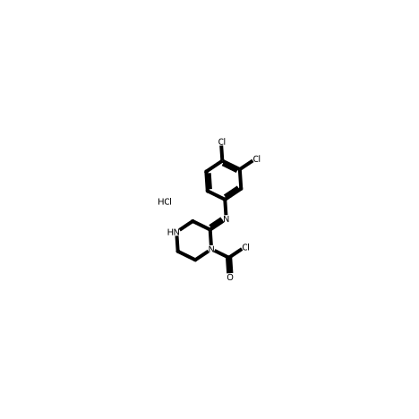 Cl.O=C(Cl)N1CCNCC1=Nc1ccc(Cl)c(Cl)c1